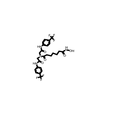 O=C(CCCCCC(=O)N(CC(=O)Nc1ccc(C(F)(F)F)cc1)CC(=O)Nc1ccc(C(F)(F)F)cc1)NO